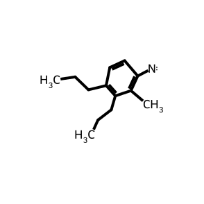 CCCc1ccc([N])c(C)c1CCC